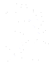 CN1CCN(C(=O)Cc2ccc(-n3ccc4cnc(Nc5ccc(C(F)(F)F)cc5)nc43)cc2)CC1